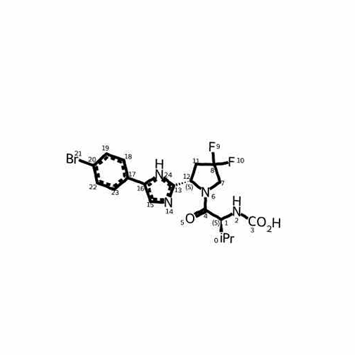 CC(C)[C@H](NC(=O)O)C(=O)N1CC(F)(F)C[C@H]1c1ncc(-c2ccc(Br)cc2)[nH]1